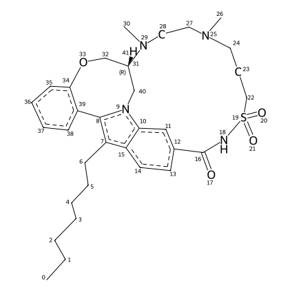 CCCCCCCc1c2n3c4cc(ccc14)C(=O)NS(=O)(=O)CCCN(C)CCN(C)[C@@H](COc1ccccc1-2)C3